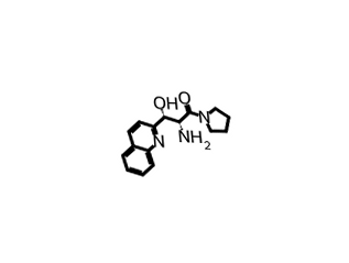 N[C@@H](C(=O)N1CCCC1)[C@@H](O)c1ccc2ccccc2n1